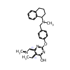 C=N/C=c1/nc(Oc2ccc(CN(C)C3CCCc4ccccc43)cc2)nc(O)/c1=C/C